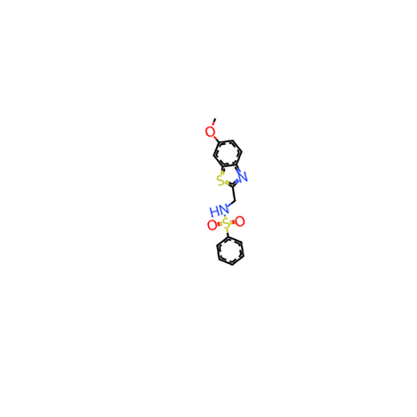 COc1ccc2nc(CNS(=O)(=O)c3ccccc3)sc2c1